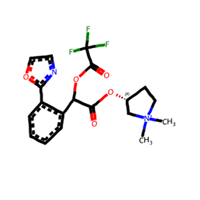 C[N+]1(C)CC[C@@H](OC(=O)C(OC(=O)C(F)(F)F)c2ccccc2-c2ncco2)C1